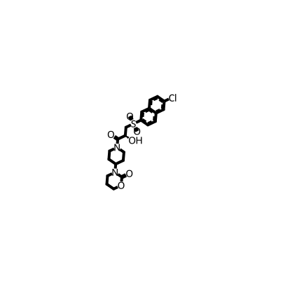 O=C([C@H](O)CS(=O)(=O)c1ccc2cc(Cl)ccc2c1)N1CCC(N2CCCOC2=O)CC1